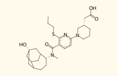 CCCSc1nc(N2CCC[C@@H](CC(=O)O)C2)ccc1C(=O)N(C)[C@@H]1CCC2C[C@@]3(O)CC2CC1C3